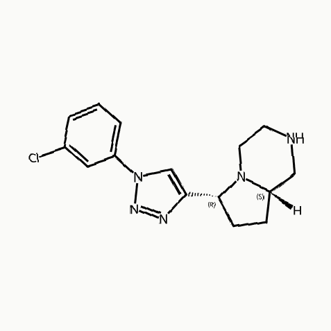 Clc1cccc(-n2cc([C@H]3CC[C@H]4CNCCN43)nn2)c1